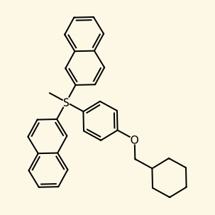 CS(c1ccc(OCC2CCCCC2)cc1)(c1ccc2ccccc2c1)c1ccc2ccccc2c1